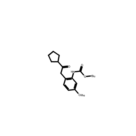 COc1ccc(CC(=O)C2CCCC2)c(NC(=O)OC(C)(C)C)c1